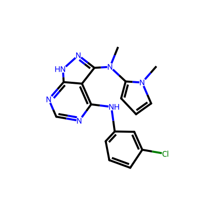 CN(c1n[nH]c2ncnc(Nc3cccc(Cl)c3)c12)c1cccn1C